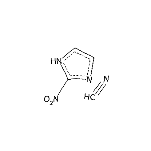 C#N.O=[N+]([O-])c1ncc[nH]1